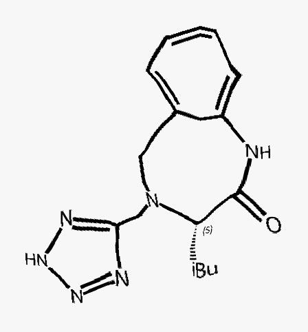 CCC(C)[C@H]1C(=O)Nc2ccccc2CN1c1nn[nH]n1